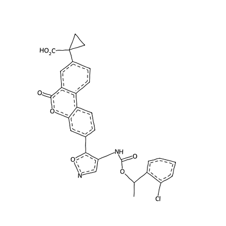 CC(OC(=O)Nc1cnoc1-c1ccc2c(c1)oc(=O)c1cc(C3(C(=O)O)CC3)ccc12)c1ccccc1Cl